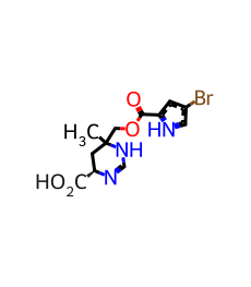 CC1(COC(=O)c2cc(Br)c[nH]2)C[C@H](C(=O)O)N=CN1